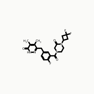 Cc1c(Cc2ccc(F)c(C(=O)N3CCN(C4CC(F)(F)C4)C(=O)C3)c2)n[nH]c(=O)c1C